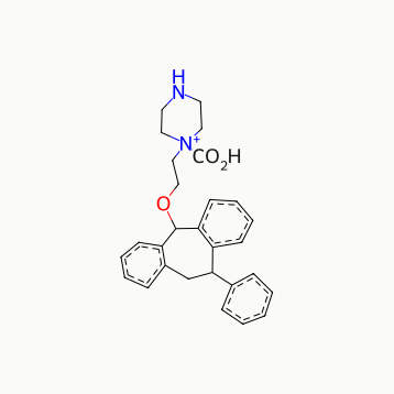 O=C(O)[N+]1(CCOC2c3ccccc3CC(c3ccccc3)c3ccccc32)CCNCC1